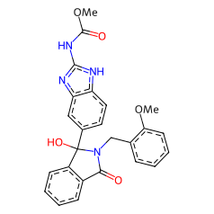 COC(=O)Nc1nc2cc(C3(O)c4ccccc4C(=O)N3Cc3ccccc3OC)ccc2[nH]1